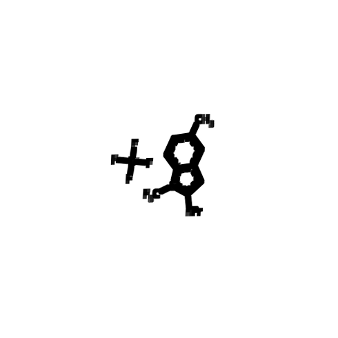 CCCc1cc2cc(C)ccc2[s+]1C(F)(F)F.F[B-](F)(F)F